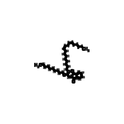 CCCCC/C=C\C/C=C\CCCCCCCCOC(CN1C(=O)c2ccccc2C1=O)OCCCCCCCCCC